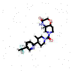 CC1CN(C(=O)N2CCC3OCC(=O)N[C@@H]3C2)CCC1c1ccc(C(C)(F)F)cn1